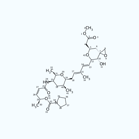 COC(=O)C[C@H]1C[C@@]2(CO2)[C@H](O)C(/C=C/C(C)=C/C[C@@H]2O[C@H](C)[C@H](NC(=O)/C=C\[C@H](C)OC(=O)N3CCCC3)C[C@@H]2C)O1